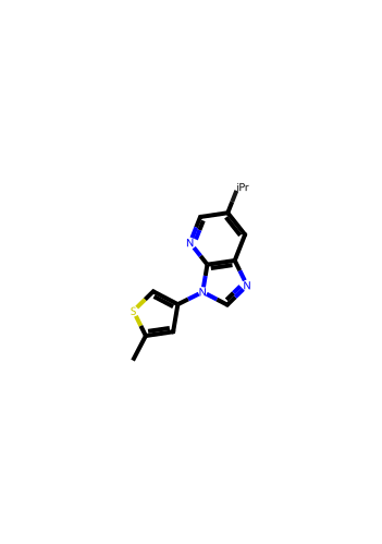 Cc1cc(-n2cnc3cc(C(C)C)cnc32)cs1